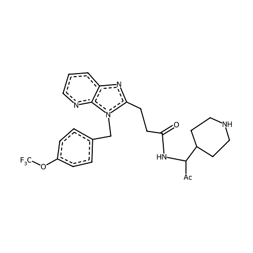 CC(=O)C(NC(=O)CCc1nc2cccnc2n1Cc1ccc(OC(F)(F)F)cc1)C1CCNCC1